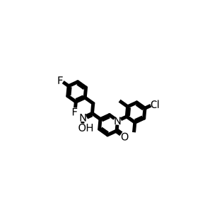 Cc1cc(Cl)cc(C)c1-n1cc(C(Cc2ccc(F)cc2F)=NO)ccc1=O